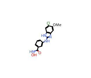 COc1cc2nc(Nc3cccc(C(=O)NO)c3)[nH]c2cc1Cl